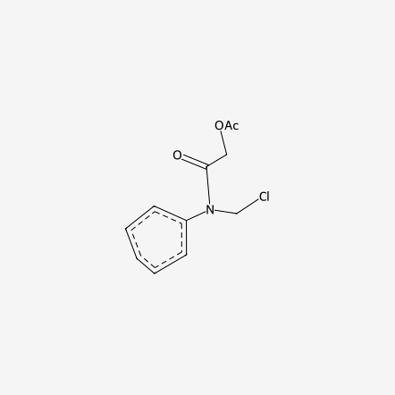 CC(=O)OCC(=O)N(CCl)c1ccccc1